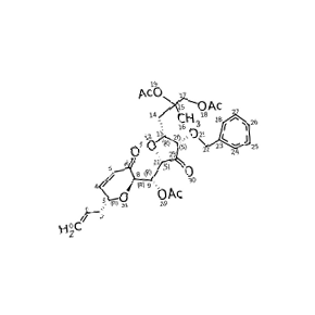 C=CC[C@@H]1C=CC(=O)[C@@H]([C@@H](OC(C)=O)[C@@H]2O[C@H](CC(C)(COC(C)=O)OC(C)=O)[C@H](OCc3ccccc3)C2=O)O1